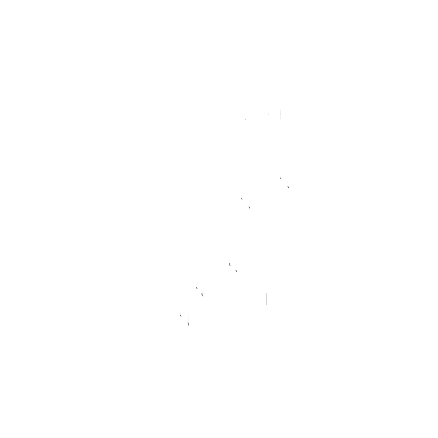 CC1CN(c2ccccn2)CCN1c1cccc(-c2cnc3cc(C(=O)O)ccc3n2)c1